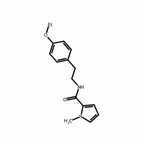 CCOc1ccc(CCNC(=O)c2cccn2C)cc1